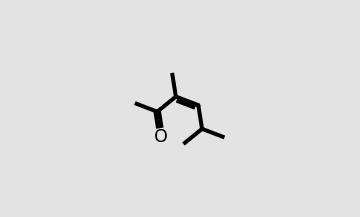 CC(=O)/C(C)=C\C(C)C